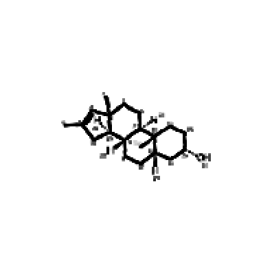 CC1=C[C@]2(C)CC[C@@H]3[C@H](CC[C@H]4C[C@@H](O)CC[C@]43C)[C@H]2C1